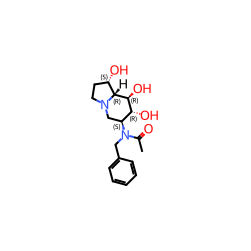 CC(=O)N(Cc1ccccc1)[C@H]1CN2CC[C@H](O)[C@@H]2[C@@H](O)[C@@H]1O